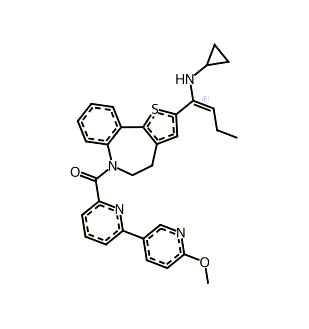 CC/C=C(/NC1CC1)c1cc2c(s1)-c1ccccc1N(C(=O)c1cccc(-c3ccc(OC)nc3)n1)CC2